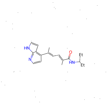 CCC(CC)NC(=O)/C(C)=C/C=C(\C)c1ccnc2[nH]ccc12